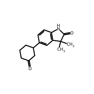 CC1(C)C(=O)Nc2ccc(C3CCCC(=O)C3)cc21